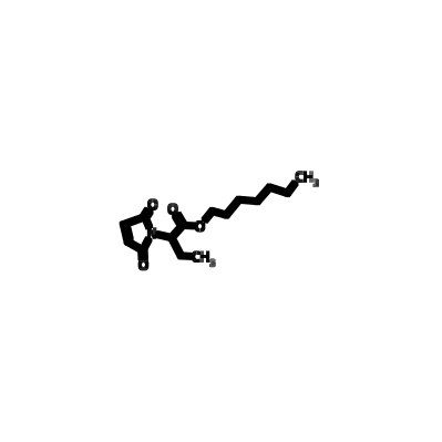 CCCCCCCOC(=O)C(CC)N1C(=O)C=CC1=O